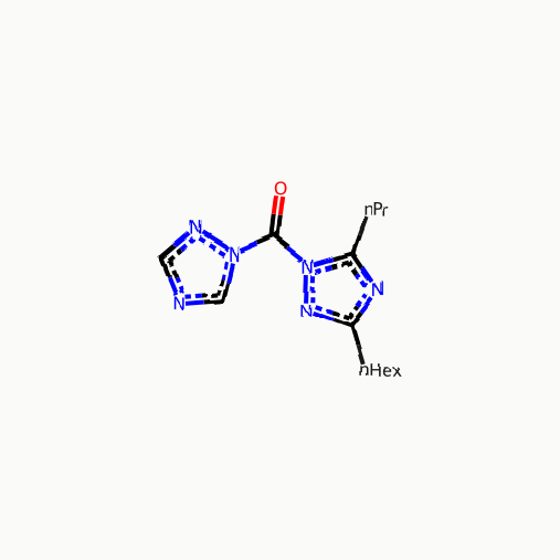 CCCCCCc1nc(CCC)n(C(=O)n2cncn2)n1